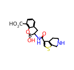 O=C(NC1Cc2cccc(C(=O)O)c2OB1O)c1csc2c1CCNC2